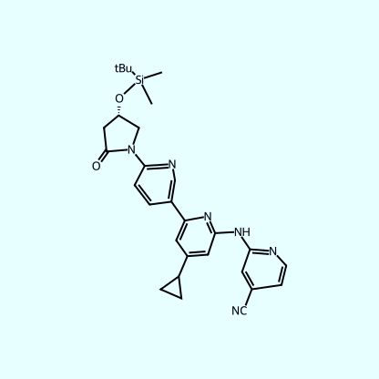 CC(C)(C)[Si](C)(C)O[C@H]1CC(=O)N(c2ccc(-c3cc(C4CC4)cc(Nc4cc(C#N)ccn4)n3)cn2)C1